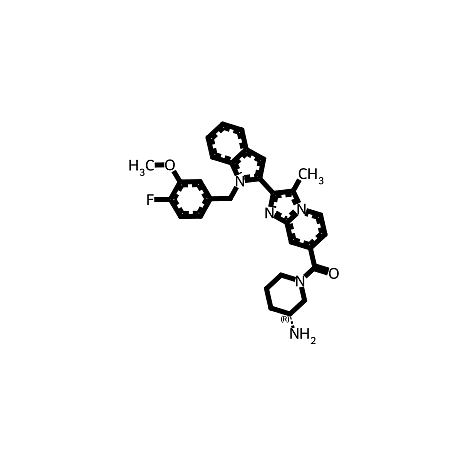 COc1cc(Cn2c(-c3nc4cc(C(=O)N5CCC[C@@H](N)C5)ccn4c3C)cc3ccccc32)ccc1F